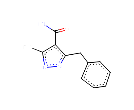 NC(=O)c1c(C(F)(F)F)n[nH]c1Cc1ccccc1